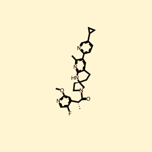 COc1cc([C@@H](C)C(=O)N2CC[C@@]3(CCc4cc(-c5ccc(C6CC6)cn5)c(C)nc4N3)C2)c(F)cn1